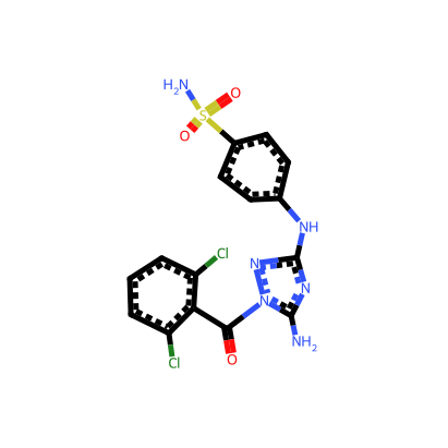 Nc1nc(Nc2ccc(S(N)(=O)=O)cc2)nn1C(=O)c1c(Cl)cccc1Cl